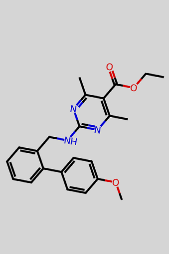 CCOC(=O)c1c(C)nc(NCc2ccccc2-c2ccc(OC)cc2)nc1C